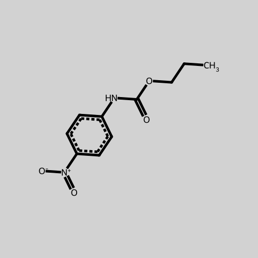 CCCOC(=O)Nc1ccc([N+](=O)[O-])cc1